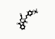 N#CCCN1C(=O)c2ccccc2C1C(=O)NCCc1ccc(OC(F)(F)F)cc1